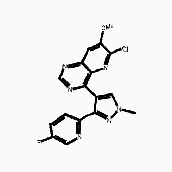 COc1cc2ncnc(-c3cn(C)nc3-c3ccc(F)cn3)c2nc1Cl